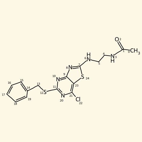 CC(=O)NCCNc1nc2nc(SCc3ccccc3)nc(Cl)c2s1